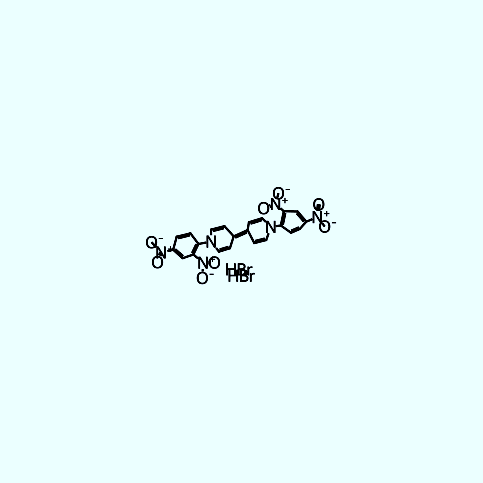 Br.Br.O=[N+]([O-])c1ccc(N2C=CC(=C3C=CN(c4ccc([N+](=O)[O-])cc4[N+](=O)[O-])C=C3)C=C2)c([N+](=O)[O-])c1